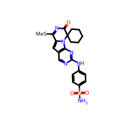 CSC1=NC(=O)C2(CCCCC2)n2c1cc1cnc(Nc3ccc(S(N)(=O)=O)cc3)nc12